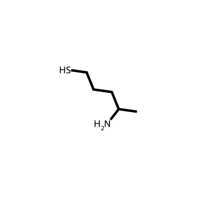 CC(N)CCCS